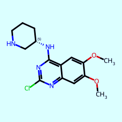 COc1cc2nc(Cl)nc(N[C@H]3CCCNC3)c2cc1OC